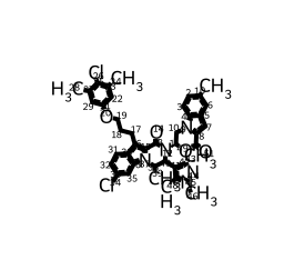 Cc1ccc2c(c1)cc1n2C[C@H](N2C(=O)c3c(CCCOc4cc(C)c(Cl)c(C)c4)c4ccc(Cl)cc4n3C(C)C2c2c(C)nn(C)c2C)OC1=O